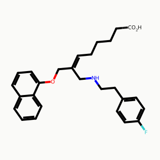 O=C(O)CCCC/C=C(\CNCCc1ccc(F)cc1)COc1cccc2ccccc12